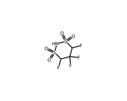 O=S1(=O)NS(=O)(=O)C(F)C(F)(F)C1F